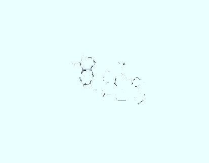 CCOC(=O)[C@@H](Cc1cc2ccnc(N)c2cc1CC)N1CC[C@H](N(c2cnc(N3CCCC3)s2)[SH](=O)=O)C1=O